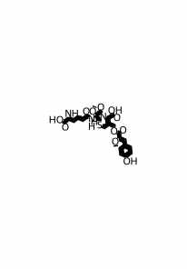 COC(=Cc1ccc(O)cc1)C(=O)OCC1=C(C(=O)O)N2C(=O)[C@](NC(=O)CCCC(N)C(=O)O)(OC)[C@@H]2SC1